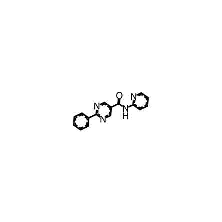 O=C(Nc1ccccn1)c1cnc(-c2ccccc2)nc1